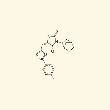 Cc1ccc(-c2ccc(/C=C3/SC(=S)N(C4CC5CCC4C5)C3=O)o2)cc1